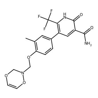 Cc1cc(-c2cc(C(N)=O)c(=O)[nH]c2C(F)(F)F)ccc1OCN1COC=CO1